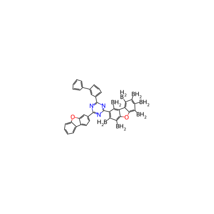 Bc1c(B)c(B)c2c(oc3c(B)c(B)c(-c4nc(-c5cccc(-c6ccccc6)c5)nc(-c5ccc6c(c5)oc5ccccc56)n4)c(B)c32)c1B